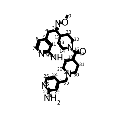 CO/N=C(/Cc1ccnc(N)c1)C1CCN(C(=O)C2CCN(Cc3ccnc(N)c3)CC2)CC1